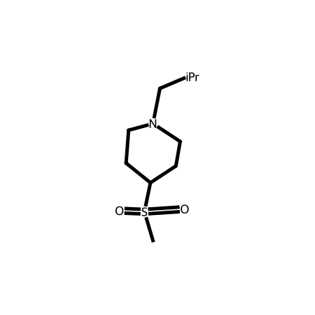 CC(C)CN1CCC(S(C)(=O)=O)CC1